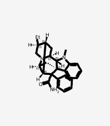 CC[C@@H]1CN2[C@H]3C[C@@]45c6ccccc6N(C)[C@H]4[C@@H]2C[C@@H]1[C@@H]3C5(C(N)=O)c1ccccc1